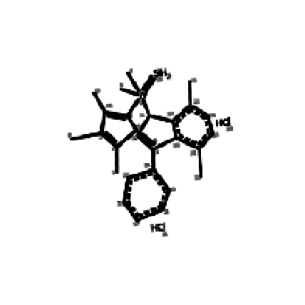 CC1=C(C)C(C)[C]([Zr]([CH3])([CH3])(=[SiH2])[CH]2C=C(c3ccccc3)c3c(C)ccc(C)c32)=C1C.Cl.Cl